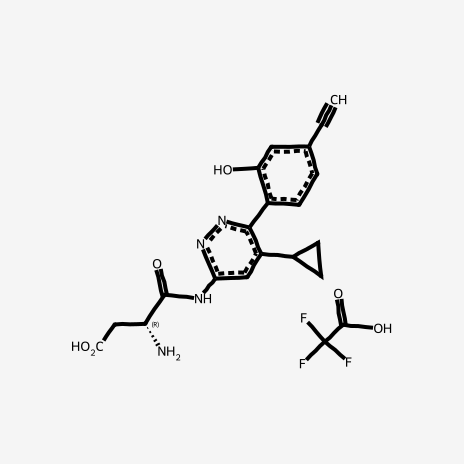 C#Cc1ccc(-c2nnc(NC(=O)[C@H](N)CC(=O)O)cc2C2CC2)c(O)c1.O=C(O)C(F)(F)F